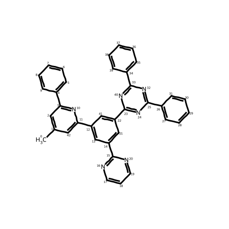 Cc1cc(-c2ccccc2)nc(-c2cc(-c3ncccn3)cc(-c3nc(-c4ccccc4)nc(-c4ccccc4)n3)c2)c1